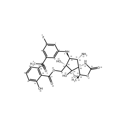 CC(=O)c1cc(F)cc(N[C@H]2[C@H](N)[C@]3(NC(=O)O[C@H]3C)[C@@](C)(O)[C@@]2(O)COC(=O)c2c(C)cccc2O)c1